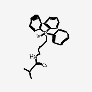 CC(C)C(=O)NCCCP(Br)(c1ccccc1)(c1ccccc1)c1ccccc1